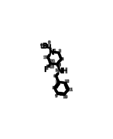 CC(C)(C)N1CC[C@@H](NCc2ccccc2)[C@@H](F)C1